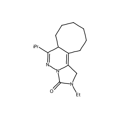 CCN1CC2=C3CCCCCCC3C(C(C)C)=NN2C1=O